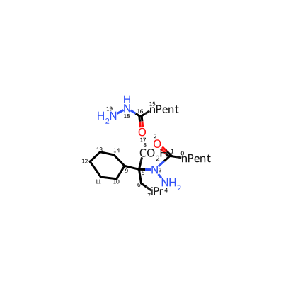 CCCCCC(=O)N(N)C(CC(C)C)(C(=O)O)C1CCCCC1.CCCCCC(=O)NN